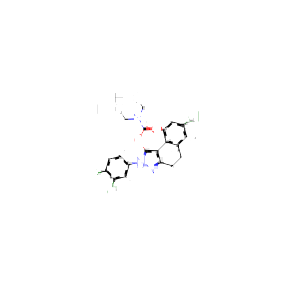 CCN(CC)C(=O)Oc1c2c(nn1-c1ccc(F)c(Cl)c1)CCc1cc(Cl)ccc1-2